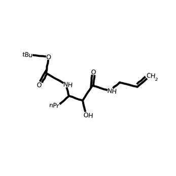 C=CCNC(=O)C(O)C(CCC)NC(=O)OC(C)(C)C